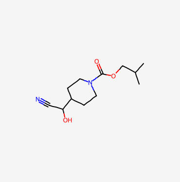 CC(C)COC(=O)N1CCC(C(O)C#N)CC1